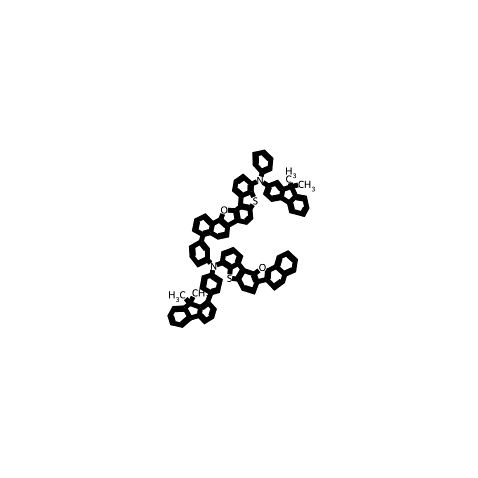 CC1(C)c2ccccc2-c2ccc(N(c3ccccc3)c3cccc4c3sc3ccc5c6ccc7c(-c8cccc(N(c9ccc(-c%10cccc%11c%10C(C)(C)c%10ccccc%10-%11)cc9)c9cccc%10c9sc9ccc%11c%12ccc%13ccccc%13c%12oc%11c9%10)c8)cccc7c6oc5c34)cc21